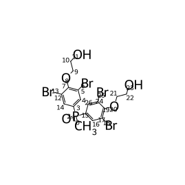 CP(=O)(c1cc(Br)c(OCCO)c(Br)c1)c1cc(Br)c(OCCO)c(Br)c1